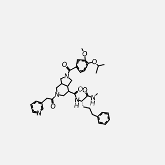 CNC(=O)[C@H](CCCc1ccccc1)NC(=O)C1CN(C(=O)Cc2cccnc2)CC2CN(C(=O)c3ccc(OC(C)C)c(OC)c3)CC21